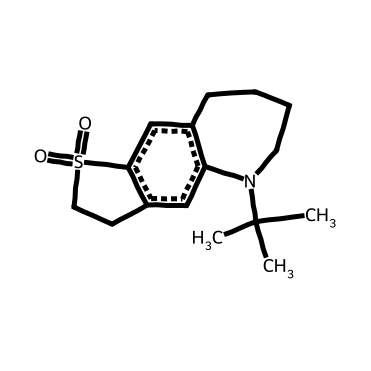 CC(C)(C)N1CCCCc2cc3c(cc21)CCS3(=O)=O